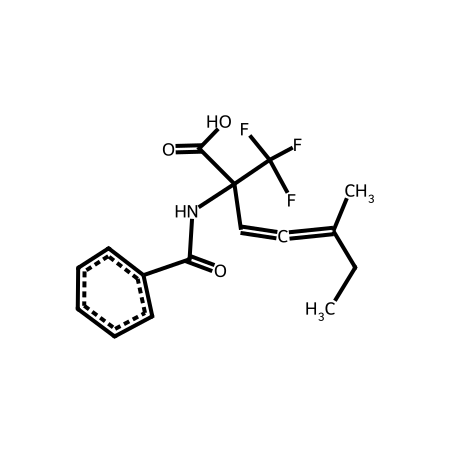 CCC(C)=C=CC(NC(=O)c1ccccc1)(C(=O)O)C(F)(F)F